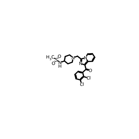 CS(=O)(=O)NC1CCN(Cc2nc(C(=O)c3cccc(Cl)c3Cl)c3ccccn23)CC1